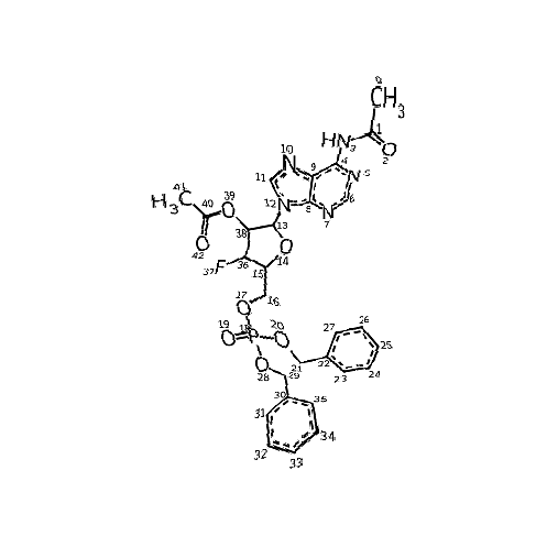 CC(=O)Nc1ncnc2c1ncn2C1OC(COP(=O)(OCc2ccccc2)OCc2ccccc2)C(F)C1OC(C)=O